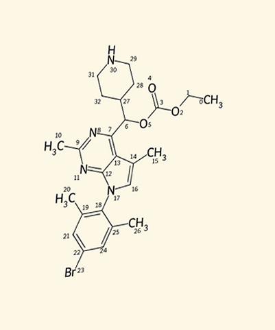 CCOC(=O)OC(c1nc(C)nc2c1c(C)cn2-c1c(C)cc(Br)cc1C)C1CCNCC1